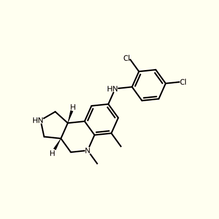 Cc1cc(Nc2ccc(Cl)cc2Cl)cc2c1N(C)C[C@@H]1CNC[C@H]21